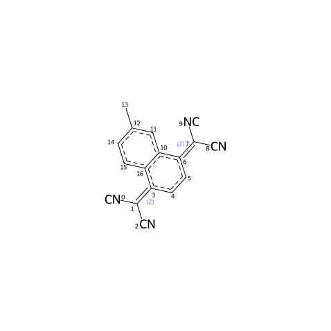 [C-]#[N+]/C(C#N)=c1/cc/c(=C(\C#N)[N+]#[C-])c2cc(C)ccc12